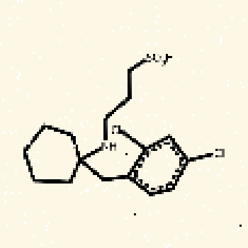 O=S(=O)(O)CCCNC1(Cc2ccc(Cl)cc2Cl)CCCCC1